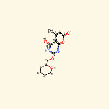 CCc1cc(=O)oc2nc(OCC3CCCCO3)[nH]c(=O)c12